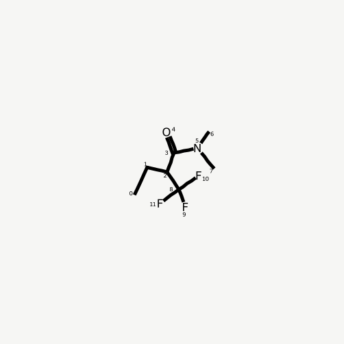 CCC(C(=O)N(C)C)C(F)(F)F